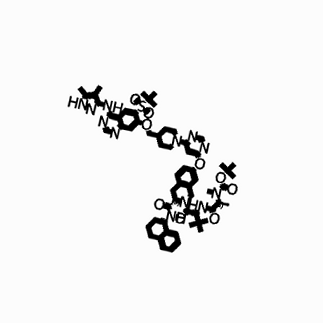 Cc1[nH]nc(Nc2ncnc3cc(OCC4CCN(c5cc(Oc6ccc7c(c6)CN(C(=O)[C@@H](NC(=O)[C@H](C)N(C)C(=O)OC(C)(C)C)C(C)(C)C)[C@H](C(=O)N[C@@H]6CCCc8ccccc86)C7)ncn5)CC4)c(S(=O)(=O)C(C)(C)C)cc23)c1C